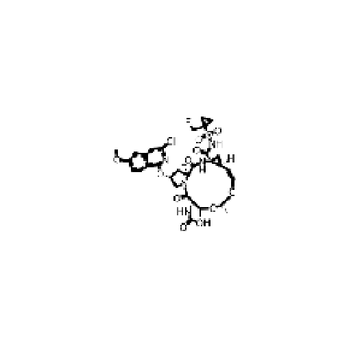 COc1ccc2c(O[C@@H]3C[C@H]4C(=O)N[C@]5(C(=O)NS(=O)(=O)C6(CF)CC6)C[C@H]5C=CCC[C@H](C)C[C@@H](C)[C@H](NC(=O)O)C(=O)N4C3)nc(Cl)cc2c1